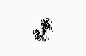 CN[C@@H](C)C(=O)N[C@H]1CCS[C@H]2CC(C)(C)[C@@H](C(=O)N[C@@H](C)COCCn3cc(COC[C@@H](NC(=O)[C@H]4N5C(=O)[C@@H](NC(=O)[C@H](C)NC)CCS[C@H]5CC4(C)C)c4ccccc4)nn3)N2C1=O